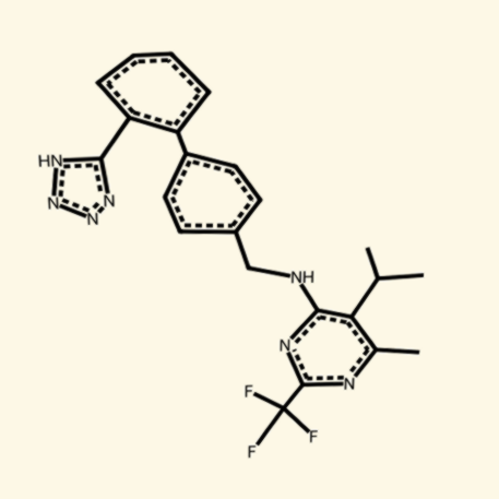 Cc1nc(C(F)(F)F)nc(NCc2ccc(-c3ccccc3-c3nnn[nH]3)cc2)c1C(C)C